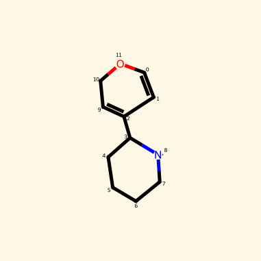 C1=CC(C2CCCC[N]2)=CCO1